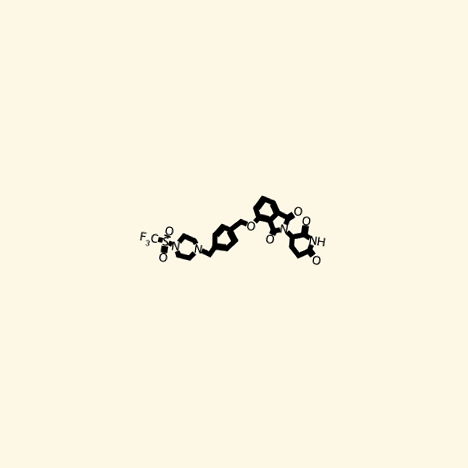 O=C1CCC(N2C(=O)c3cccc(OCc4ccc(CN5CCN(S(=O)(=O)C(F)(F)F)CC5)cc4)c3C2=O)C(=O)N1